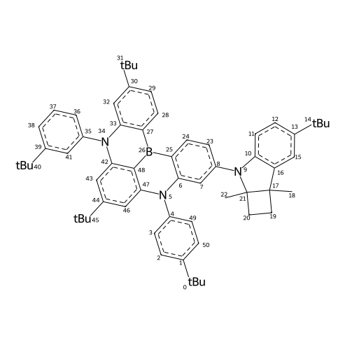 CC(C)(C)c1ccc(N2c3cc(N4c5ccc(C(C)(C)C)cc5C5(C)CCC45C)ccc3B3c4ccc(C(C)(C)C)cc4N(c4cccc(C(C)(C)C)c4)c4cc(C(C)(C)C)cc2c43)cc1